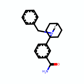 NC(=O)c1cccc(C23CCC(CC2)CN3Cc2ccccc2)c1